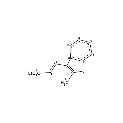 CCOC(=O)/C=C/C1=C(C)Cc2ccccc21